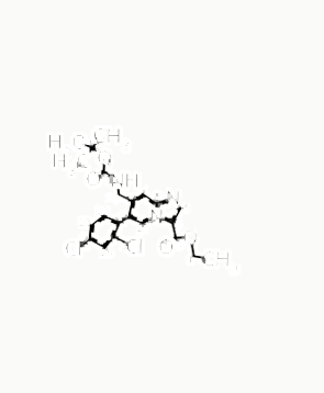 CCOC(=O)c1cnc2cc(CNC(=O)OC(C)(C)C)c(-c3ccc(Cl)cc3Cl)cn12